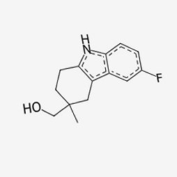 CC1(CO)CCc2[nH]c3ccc(F)cc3c2C1